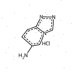 Cl.Nc1ccc2nncn2c1